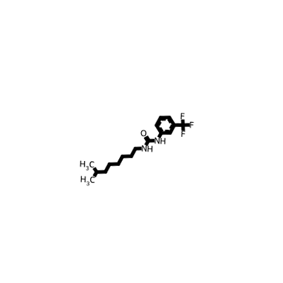 CC(C)CCCCCCNC(=O)Nc1cccc(C(F)(F)F)c1